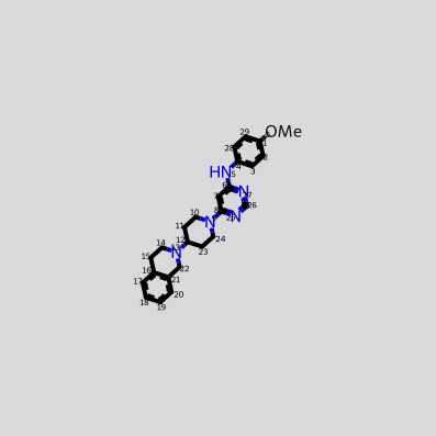 COc1ccc(Nc2cc(N3CCC(N4CCc5ccccc5C4)CC3)ncn2)cc1